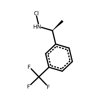 C[C@H](NCl)c1cccc(C(F)(F)F)c1